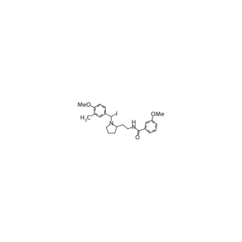 COc1cccc(C(=O)NCCC2CCCN2C(I)c2ccc(OC)c(C)c2)c1